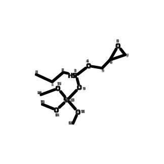 CCC[SiH](OCC1CO1)O[Si](OC)(OC)OC